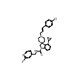 O=C(NCc1ccnc(F)c1)N1CC2(CCN(CC=Cc3ccc(Cl)cc3)CC2)c2c(C3CC3)cccc21